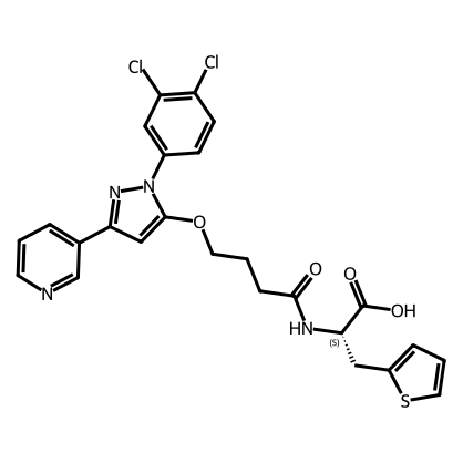 O=C(CCCOc1cc(-c2cccnc2)nn1-c1ccc(Cl)c(Cl)c1)N[C@@H](Cc1cccs1)C(=O)O